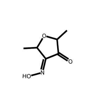 CC1OC(C)C(=NO)C1=O